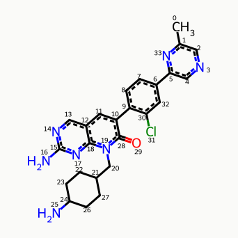 Cc1cncc(-c2ccc(-c3cc4cnc(N)nc4n(CC4CCC(N)CC4)c3=O)c(Cl)c2)n1